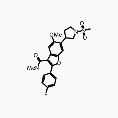 CNC(=O)c1c(-c2ccc(F)cc2)oc2cc(C3CCN(S(C)(=O)=O)C3)c(OC)cc12